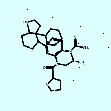 CC(=O)N1c2ccc(C3CCCC4NCCC43C3CCCCC3)cc2N(C(=O)C2CCCO2)C[C@@H]1C